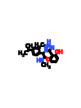 CNC(=O)C(c1ccc(C(C)C)cc1)N1C(c2ccccc2O)=NNN1C